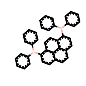 c1ccc(B(c2ccccc2)c2ccc3ccc4ccc(B(c5ccccc5)c5ccccc5)c5ccc2c3c45)cc1